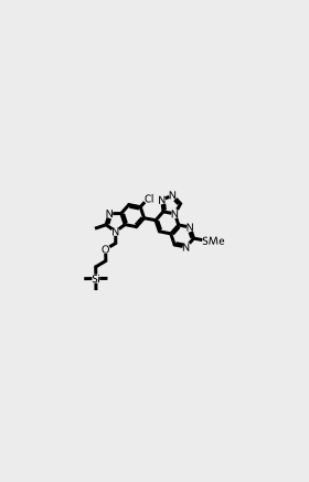 CSc1ncc2cc(-c3cc4c(cc3Cl)nc(C)n4COCC[Si](C)(C)C)c3nncn3c2n1